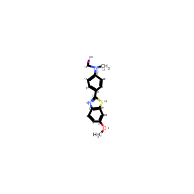 COc1ccc2nc(-c3ccc(N(C)CI)cc3)sc2c1